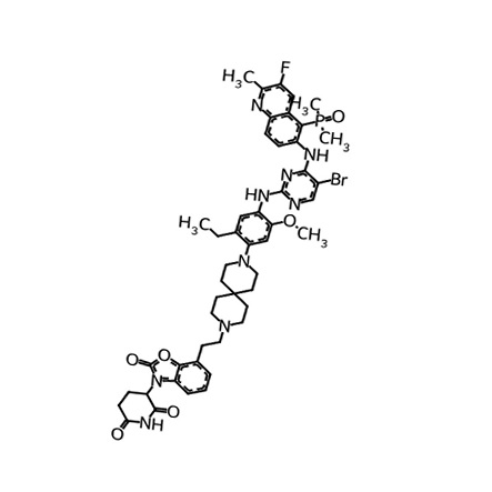 CCc1cc(Nc2ncc(Br)c(Nc3ccc4nc(C)c(F)cc4c3P(C)(C)=O)n2)c(OC)cc1N1CCC2(CCN(CCc3cccc4c3oc(=O)n4C3CCC(=O)NC3=O)CC2)CC1